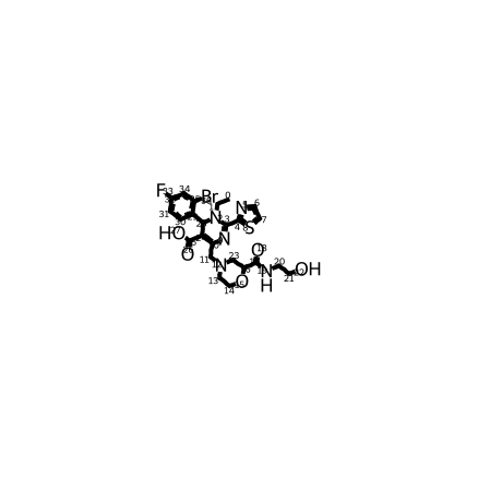 CCN1C(c2nccs2)=NC(CN2CCOC(C(=O)NCCO)C2)=C(C(=O)O)C1c1ccc(F)cc1Br